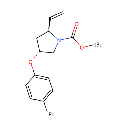 C=C[C@@H]1C[C@@H](Oc2ccc(C(C)C)cc2)CN1C(=O)OC(C)(C)C